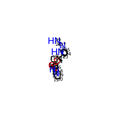 CC(C)(OCC(=O)N1CC2CCC(C1)N2c1ccc(C#N)cn1)c1ccc/c(=N/C=N)[nH]1